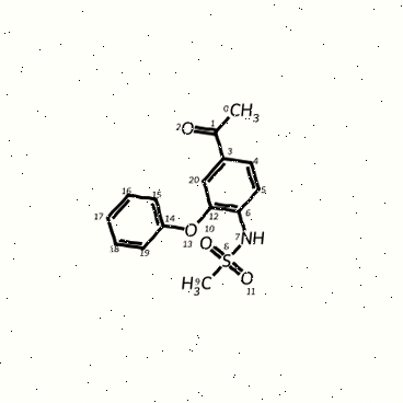 CC(=O)c1ccc(NS(C)(=O)=O)c(Oc2ccccc2)c1